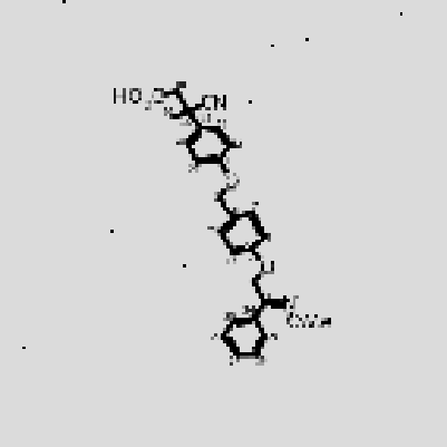 CON=C(COc1ccc(COc2ccc(C(C)(C#N)CC(=O)O)cc2)cc1)c1ccccc1